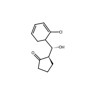 O=C1CCC[C@@H]1[C@@H](O)C1CC=CC=C1Cl